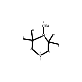 CCCCN1C(C)(C)CNCC1(C)C